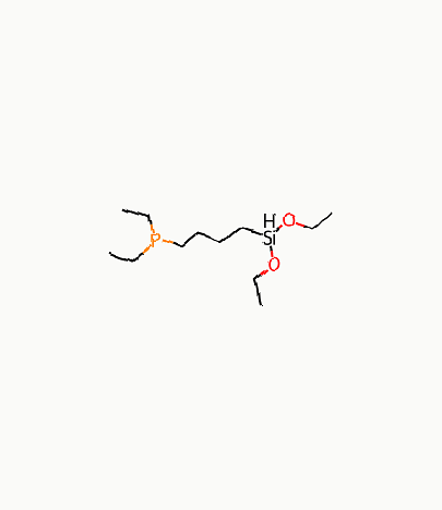 CCO[SiH](CCCCP(CC)CC)OCC